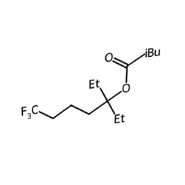 CCC(C)C(=O)OC(CC)(CC)CCCC(F)(F)F